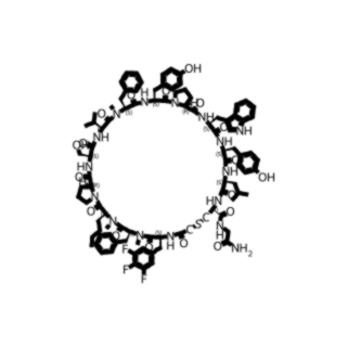 CCCC[C@H]1C(=O)N2CCC[C@@H]2C(=O)N[C@@H](CO)C(=O)N[C@@H](C(C)C)C(=O)N(C)[C@@H](Cc2ccccc2)C(=O)N[C@@H](Cc2ccc(O)cc2)C(=O)N2CCC[C@@H]2C(=O)N[C@@H](Cc2c[nH]c3ccccc23)C(=O)N[C@@H](Cc2ccc(O)cc2)C(=O)N[C@@H](CC(C)C)C(=O)N[C@H](C(=O)NCC(N)=O)CSCC(=O)N[C@@H](Cc2cc(F)c(F)c(F)c2)C(=O)N(C)[C@@H](Cc2ccccc2)C(=O)N1C